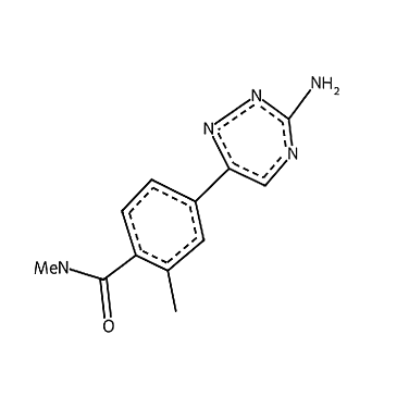 CNC(=O)c1ccc(-c2cnc(N)nn2)cc1C